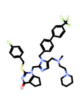 CN(CCN1CCCCC1)Cc1cnc(Cn2c(SCc3ccc(F)cc3)nc(=O)c3c2CCC3)n1Cc1ccc(-c2ccc(C(F)(F)F)cc2)cc1